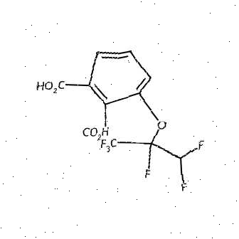 O=C(O)c1cccc(OC(F)(C(F)F)C(F)(F)F)c1C(=O)O